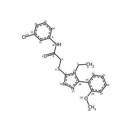 CCn1c(SCC(=O)Nc2cccc(Cl)c2)nnc1-c1ccccc1OC